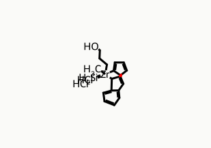 Cl.Cl.[CH3][Zr](=[SiH2])([CH2]CCO)([C]1=CC=CC1)[CH]1C=Cc2ccccc21